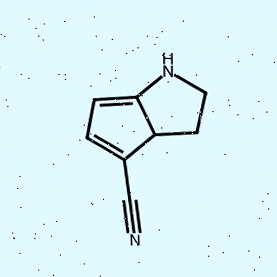 N#CC1=CC=C2NCCC12